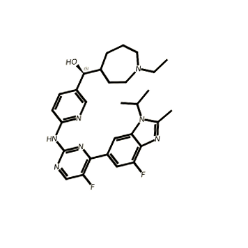 CCN1CCCC([C@H](O)c2ccc(Nc3ncc(F)c(-c4cc(F)c5nc(C)n(C(C)C)c5c4)n3)nc2)CC1